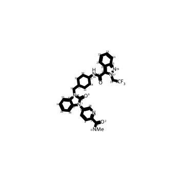 CNC(=O)c1ccc(-n2c(=O)n(CC3CCC(NC(=O)c4c5ccccc5nn4CC(F)(F)F)CC3)c3ccccc32)cn1